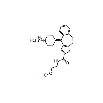 COCCNC(=O)c1cc2c(s1)CCc1ccccc1C2=C1CCN(C)CC1.Cl